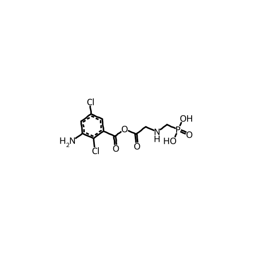 Nc1cc(Cl)cc(C(=O)OC(=O)CNCP(=O)(O)O)c1Cl